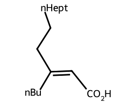 CCCCCCCCCC(=CC(=O)O)CCCC